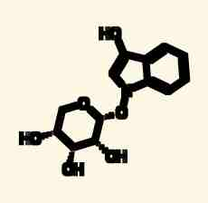 Oc1cn(O[C@H]2OC[C@@H](O)[C@@H](O)[C@H]2O)c2ccccc12